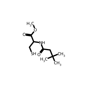 COC(=O)C(CS)NC(=O)CC(C)(C)C